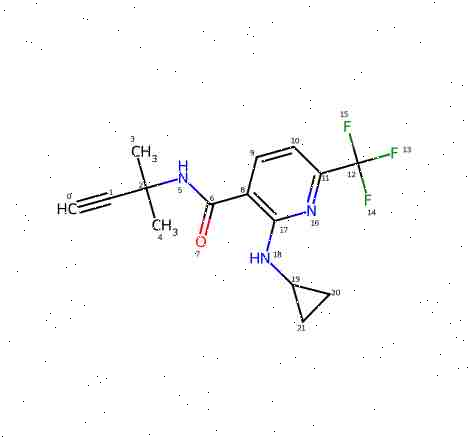 C#CC(C)(C)NC(=O)c1ccc(C(F)(F)F)nc1NC1CC1